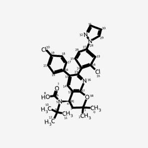 CC1(C)C[C@@H](N(C(=O)O)C(C)(C)C)c2cc(-c3ccc(Cl)cc3)c(-c3ccc(-n4cccn4)cc3Cl)nc2O1